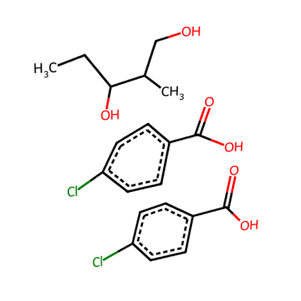 CCC(O)C(C)CO.O=C(O)c1ccc(Cl)cc1.O=C(O)c1ccc(Cl)cc1